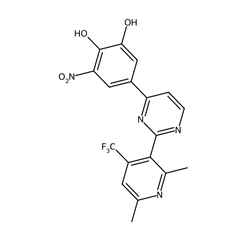 Cc1cc(C(F)(F)F)c(-c2nccc(-c3cc(O)c(O)c([N+](=O)[O-])c3)n2)c(C)n1